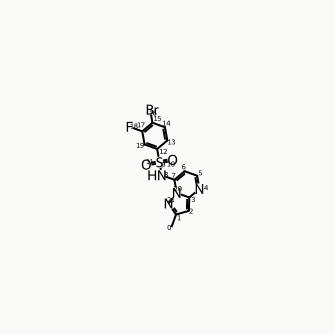 Cc1cc2nccc(NS(=O)(=O)c3ccc(Br)c(F)c3)n2n1